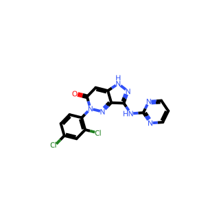 O=c1cc2[nH]nc(Nc3ncccn3)c2nn1-c1ccc(Cl)cc1Cl